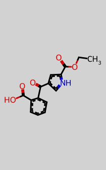 CCOC(=O)c1cc(C(=O)c2ccccc2C(=O)O)c[nH]1